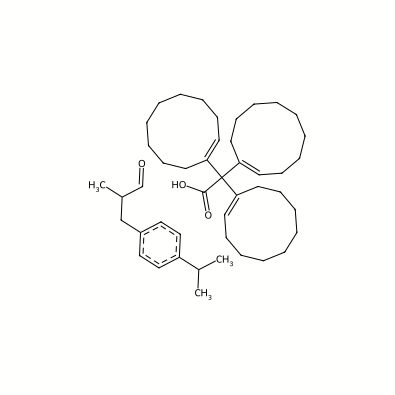 CC(C=O)Cc1ccc(C(C)C)cc1.O=C(O)C(C1=CCCCCCCCC1)(C1=CCCCCCCCC1)C1=CCCCCCCCC1